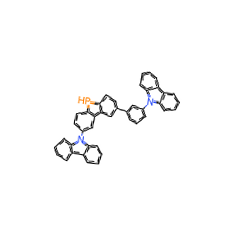 c1cc(-c2ccc3[pH]c4ccc(-n5c6ccccc6c6ccccc65)cc4c3c2)cc(-n2c3ccccc3c3ccccc32)c1